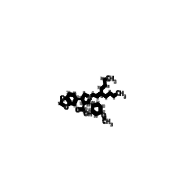 CCCCC(=CCN1C[C@H](c2ccc3c(c2)OCO3)[C@H](C(=O)O)[C@H]1c1ccc(OC)cc1)CCCC